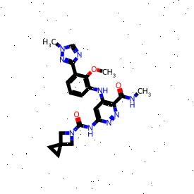 CNC(=O)c1nnc(NC(=O)N2CC3(CC3)C2)cc1Nc1cccc(-c2ncn(C)n2)c1OC